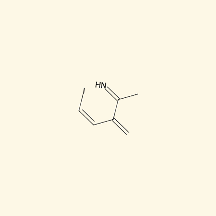 C=C(/C=C\I)C(C)=N